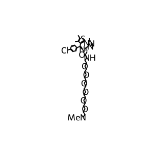 CNCCOCCOCCOCCOCCOCCOCCNC(=O)C[C@@H]1N=C(c2ccc(Cl)cc2)c2c(sc(C)c2C)-n2c(C)nnc21